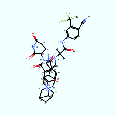 CC(C)(C(=O)Nc1ccc(C#N)c(C(F)(F)F)c1)n1cc(C2CCN(C3C4CC3CN(c3ccc5c(c3)C(=O)N(C3CCC(=O)NC3=O)C5=O)C4)CC2)cn1